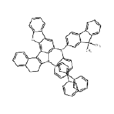 CC1(C)c2ccccc2-c2ccc(N(c3ccc(C4C=CC=CC4)cc3)c3cc4c5ccccc5oc4c4c5c(n(-c6ccc(-c7ccccc7)cc6)c34)CCc3ccccc3-5)cc21